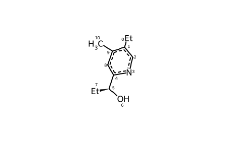 CCc1cnc([C@@H](O)CC)cc1C